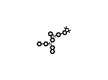 CC1(C)CC(C)(C)c2cc(-c3ccc(-n4c5ccccc5c5cc(N(c6ccc(-c7ccccc7)cc6)c6ccc7ccccc7c6)ccc54)cc3)ccc21